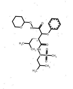 CC(C)C[C@@H](C(=O)NN(CC(C)C)S(C)(=O)=O)C(Sc1ccccc1)C(=O)NOC1CCCCO1